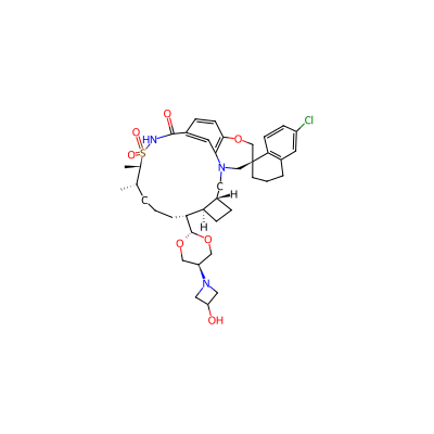 C[C@@H]1[C@@H](C)CCC[C@@H]([C@H]2OC[C@H](N3CC(O)C3)CO2)[C@@H]2CC[C@H]2CN2C[C@@]3(CCCc4cc(Cl)ccc43)COc3ccc(cc32)C(=O)NS1(=O)=O